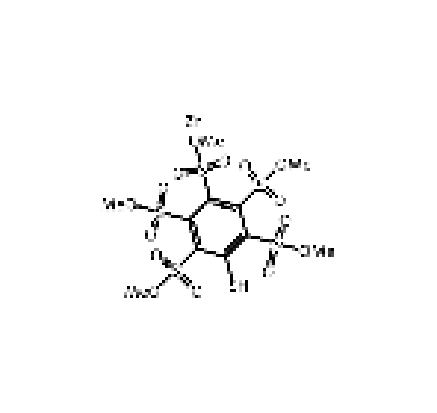 COS(=O)(=O)c1c(S)c(S(=O)(=O)OC)c(S(=O)(=O)OC)c(S(=O)(=O)OC)c1S(=O)(=O)OC.[Zn]